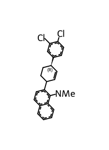 CNc1c(C2C=C[C@H](c3ccc(Cl)c(Cl)c3)CC2)ccc2ccccc12